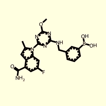 COc1nc(NCc2cccc(B(O)O)c2)nc(-n2c(C)cc3c(C(N)=O)cc(F)cc32)n1